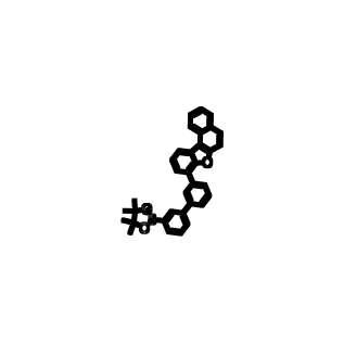 CC1(C)OB(c2cccc(-c3cccc(-c4cccc5c4oc4ccc6ccccc6c45)c3)c2)OC1(C)C